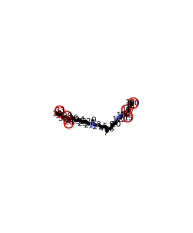 C/C(=C\CCCC(C)CCCC/C=C/C(=O)OCC1CO1)CCCCCCC(=O)OCC1CO1